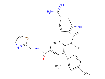 CCC(c1ccc(C(=O)NCc2nccs2)cc1-c1ccc(OC)cc1C(=O)O)c1c[nH]c2cc(C(=N)N)ccc12